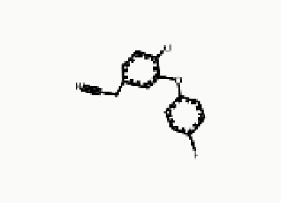 N#CCc1ccc(Cl)c(Oc2ccc(F)cc2)c1